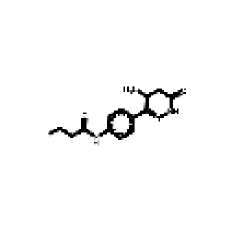 CC1CC(=O)NN=C1c1ccc(NC(=O)CCF)cc1